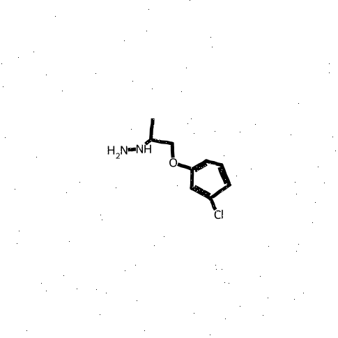 CC(COc1cccc(Cl)c1)NN